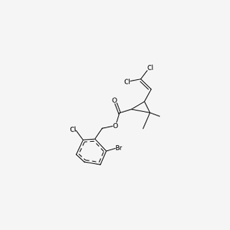 CC1(C)C(C=C(Cl)Cl)C1C(=O)OCc1c(Cl)cccc1Br